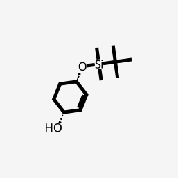 CC(C)(C)[Si](C)(C)O[C@@H]1C=C[C@H](O)CC1